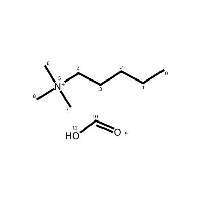 CCCCC[N+](C)(C)C.O=CO